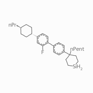 CCCCCC1(c2ccc(-c3ccc([C@H]4CC[C@H](CCC)CC4)cc3F)cc2)CC[SiH2]CC1